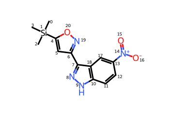 C[Si](C)(C)c1cc(-c2n[nH]c3ccc([N+](=O)[O-])cc23)no1